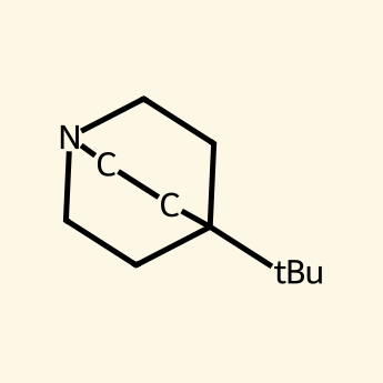 CC(C)(C)C12CCN(CC1)CC2